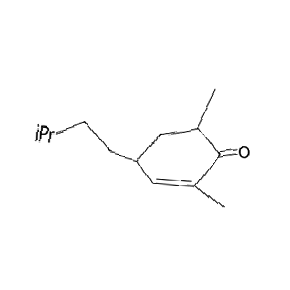 CC1=CC(CCC(C)C)CC(C)C1=O